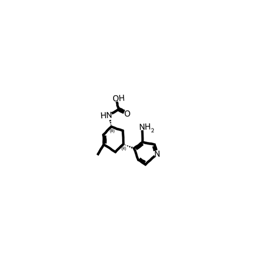 CC1=C[C@H](NC(=O)O)C[C@H](c2ccncc2N)C1